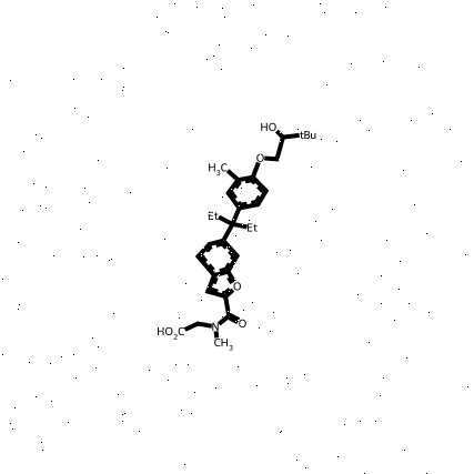 CCC(CC)(c1ccc(OCC(O)C(C)(C)C)c(C)c1)c1ccc2cc(C(=O)N(C)CC(=O)O)oc2c1